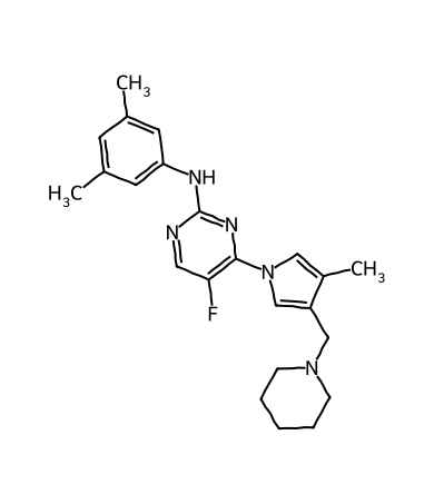 Cc1cc(C)cc(Nc2ncc(F)c(-n3cc(C)c(CN4CCCCC4)c3)n2)c1